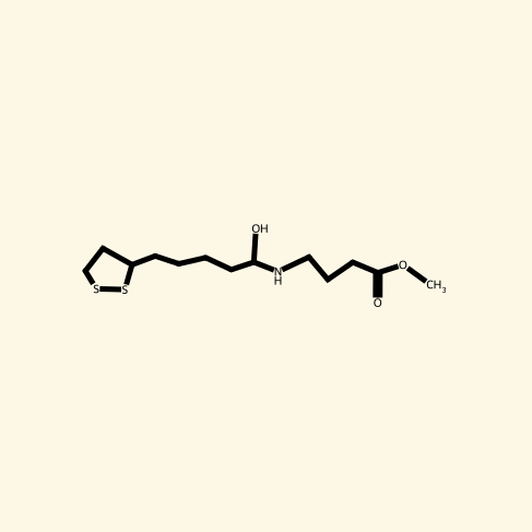 COC(=O)CCCNC(O)CCCCC1CCSS1